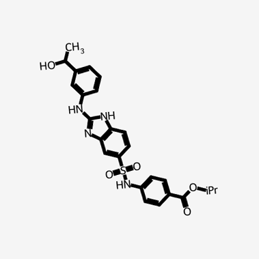 CC(C)OC(=O)c1ccc(NS(=O)(=O)c2ccc3[nH]c(Nc4cccc(C(C)O)c4)nc3c2)cc1